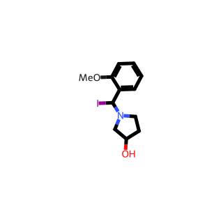 COc1ccccc1C(I)N1CCC(O)C1